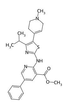 COC(=O)c1cc(-c2ccccc2)cnc1Nc1nc(C(C)C)c(C2=CCN(C)CC2)s1